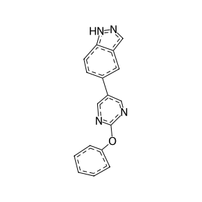 c1ccc(Oc2ncc(-c3ccc4[nH]ncc4c3)cn2)cc1